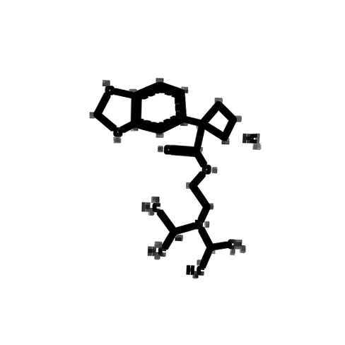 CC(C)N(CCOC(=O)C1(c2ccc3c(c2)OCO3)CCC1)C(C)C.Cl